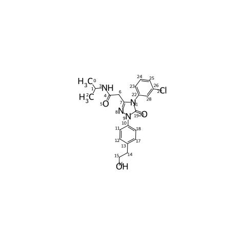 CC(C)NC(=O)Cc1nn(-c2ccc(CCO)cc2)c(=O)n1-c1cccc(Cl)c1